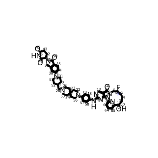 C[C@@]1(O)CC/C=C(/F)Cn2c(=O)c3cnc(Nc4ccc(N5CCC6(CCN(CC7CCN(c8ccc9c(c8)CN(C8CCC(=O)NC8=O)C9=O)CC7)CC6)CC5)cc4)nc3n2-c2cccc1n2